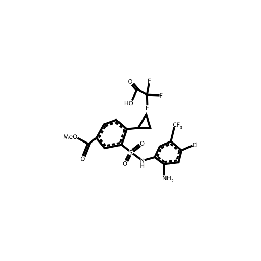 COC(=O)c1ccc(C2CC2)c(S(=O)(=O)Nc2cc(C(F)(F)F)c(Cl)cc2N)c1.O=C(O)C(F)(F)F